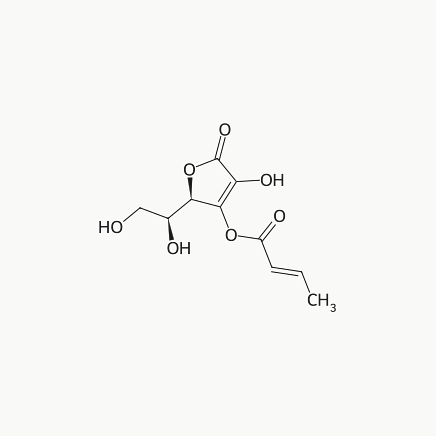 C/C=C/C(=O)OC1=C(O)C(=O)O[C@@H]1[C@@H](O)CO